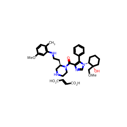 COC[C@]1(O)CCCC[C@H]1n1cnc(C(=O)N2CCNC[C@H]2CCNc2cc(OC)ccc2C)c1-c1ccccc1.O=C(O)C=CC(=O)O